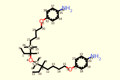 CCC(C)(O[Si](C)(C)C(C)(CC)CCCCOc1ccc(N)cc1)[Si](C)(C)CCCCOc1ccc(N)cc1